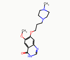 COc1cc2c(=O)[nH]cnc2cc1OCCCN1CCN(C)CC1